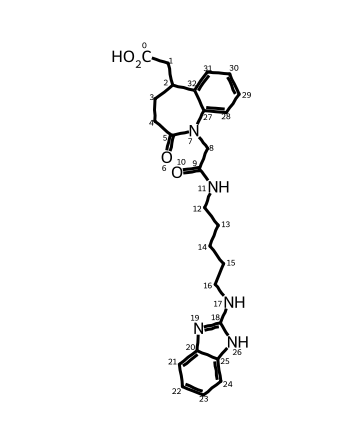 O=C(O)CC1CCC(=O)N(CC(=O)NCCCCCNc2nc3ccccc3[nH]2)c2ccccc21